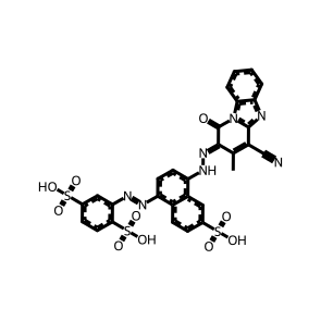 CC1=C(C#N)c2nc3ccccc3n2C(=O)/C1=N/Nc1ccc(/N=N/c2cc(S(=O)(=O)O)ccc2S(=O)(=O)O)c2ccc(S(=O)(=O)O)cc12